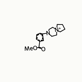 COC(=O)c1cccc(N2CC[N+]3(CCCC3)CC2)c1